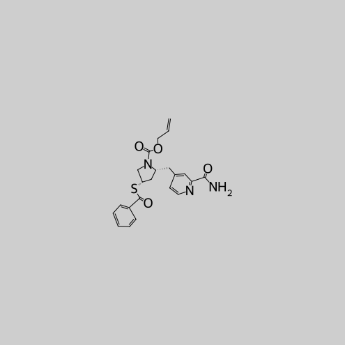 C=CCOC(=O)N1C[C@@H](SC(=O)c2ccccc2)C[C@H]1Cc1ccnc(C(N)=O)c1